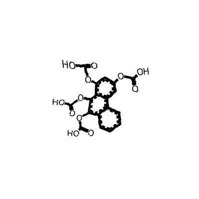 O=C(O)Oc1cc(OC(=O)O)c2c(OC(=O)O)c(OC(=O)O)c3ccccc3c2c1